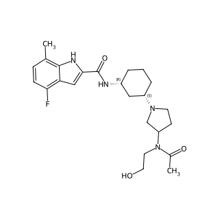 CC(=O)N(CCO)C1CCN([C@H]2CCC[C@@H](NC(=O)c3cc4c(F)ccc(C)c4[nH]3)C2)C1